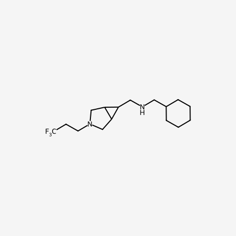 FC(F)(F)CCN1CC2C(CNCC3CCCCC3)C2C1